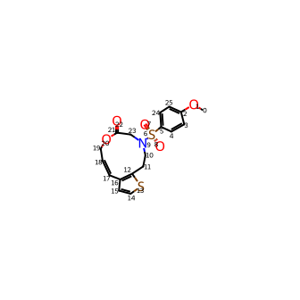 COc1ccc(S(=O)(=O)N2CCc3sccc3C=CCOC(=O)C2)cc1